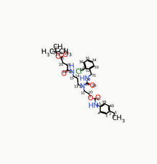 CCc1ccc(NC(=O)OCCN(CCCNC(=O)CCC(=O)OC(C)(C)C)C(=O)NCc2ccccc2Cl)cc1